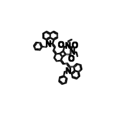 CCN1C(=O)C2C(C(=O)N(CC)C1=O)C1/C(=C\C=c3\c4cccc5cccc(c54)n3Cc3ccccc3)CC/C(=C/C=c3/c4cccc5cccc(c54)n3Cc3ccccc3)C21